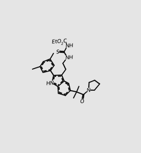 CCOC(=O)NC(=S)NCCc1c(-c2cc(C)cc(C)c2)[nH]c2ccc(C(C)(C)C(=O)N3CCCC3)cc12